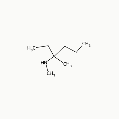 CCCC(C)(CC)NC